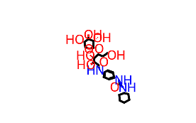 O=C(Nc1ccc(N[C@@H]2OC(CO)[C@@H](OC3OC[C@H](O)C(O)[C@@H]3O)[C@H](O)C2O)cc1)NC1CCCCC1